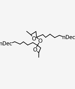 CCCCCCCCCCCCCCCC1(OC2(CCCCCCCCCCCCCCC)CC(C)O2)CC(C)O1